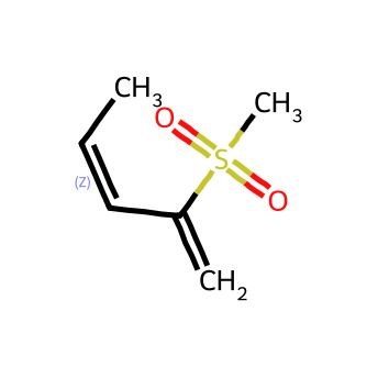 C=C(/C=C\C)S(C)(=O)=O